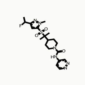 CC(F)c1cc(S(=O)(=O)C(C)(C)C2CCN(C(=O)Nc3ccnnc3)CC2)n(C)n1